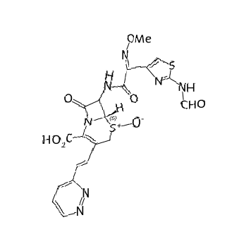 CON=C(C(=O)NC1C(=O)N2C(C(=O)O)=C(C=Cc3cccnn3)C[S+]([O-])[C@@H]12)c1csc(NC=O)n1